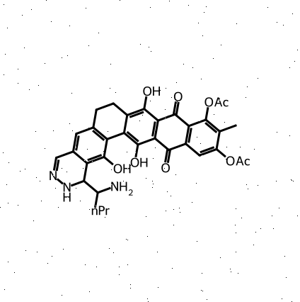 CCCC(N)C1NN=Cc2cc3c(c(O)c21)-c1c(O)c2c(c(O)c1CC3)C(=O)c1c(cc(OC(C)=O)c(C)c1OC(C)=O)C2=O